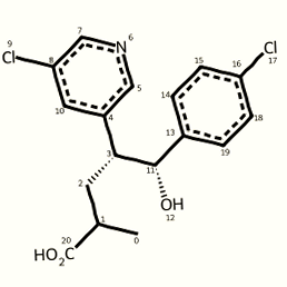 CC(C[C@H](c1cncc(Cl)c1)[C@@H](O)c1ccc(Cl)cc1)C(=O)O